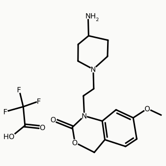 COc1ccc2c(c1)N(CCN1CCC(N)CC1)C(=O)OC2.O=C(O)C(F)(F)F